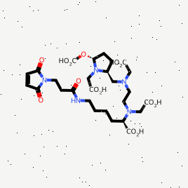 O=C(O)CN(CCN(CC(=O)O)[C@H](CCCCNC(=O)CCN1C(=O)C=CC1=O)C(=O)O)C[C@@H]1CC[C@@H](OC(=O)O)N1CC(=O)O